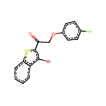 O=C(COc1ccc(F)cc1)c1sc2ccccc2c1Br